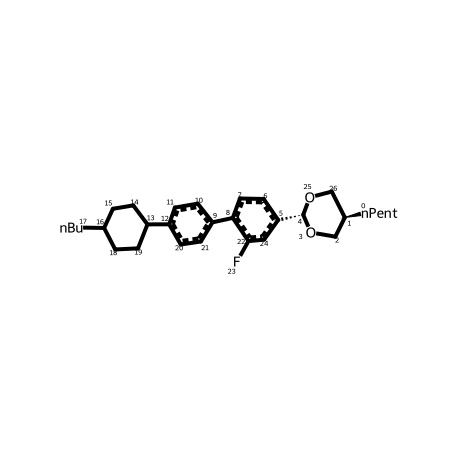 CCCCC[C@H]1CO[C@H](c2ccc(-c3ccc(C4CCC(CCCC)CC4)cc3)c(F)c2)OC1